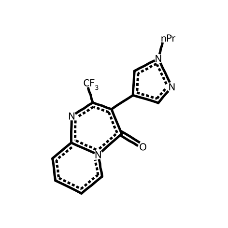 CCCn1cc(-c2c(C(F)(F)F)nc3ccccn3c2=O)cn1